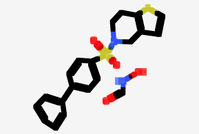 O=CNO.O=S(=O)(c1ccc(-c2ccccc2)cc1)N1CCc2sccc2C1